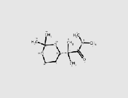 CN(C)C(=O)C(C)(C)[C@@H]1CCOC(C)(C)O1